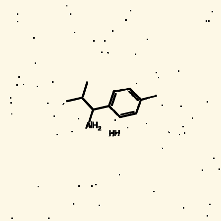 Cc1ccc([CH]([AlH2])C(C)C)cc1.[HH]